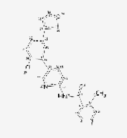 Cc1cnccc1C(=O)Nc1cnc(-c2cc(-c3ccoc3)ccc2Cl)cn1